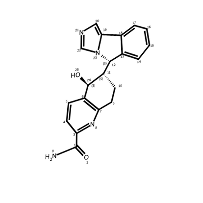 NC(=O)c1ccc2c(n1)CC[C@@H]([C@H]1c3ccccc3-c3cncn31)[C@@H]2O